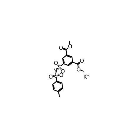 COC(=O)c1cc(C(=O)OC)cc(S(=O)(=O)[N-]S(=O)(=O)c2ccc(C)cc2)c1.[K+]